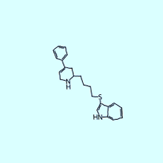 C1=C(c2ccccc2)CC(CCCCSc2c[nH]c3ccccc23)NC1